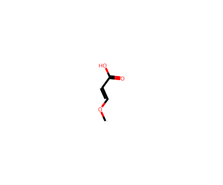 [CH2]OC=CC(=O)O